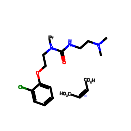 CC(C)N(CCOc1ccccc1Cl)C(=O)NCCN(C)C.O=C(O)/C=C\C(=O)O